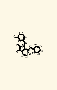 Cc1cccc(Cn2c(C)c(C)c3ccnc(Cc4ccccc4)c32)c1